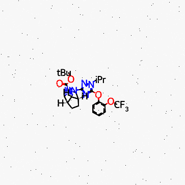 CC(C)n1nc(N[C@@H]2[C@@H]3CC[C@H]2CN(C(=O)OC(C)(C)C)C3)nc1Oc1ccccc1OC(F)(F)F